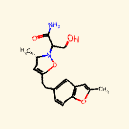 Cc1cc2cc(CC3=C[C@H](C)N(C(CO)C(N)=O)O3)ccc2o1